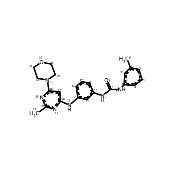 Cc1cccc(NC(=O)Nc2cccc(Nc3cc(N4CCOCC4)nc(C)n3)c2)c1